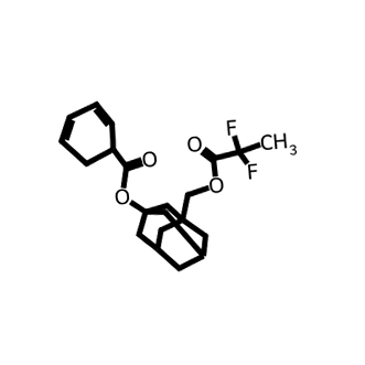 CC(F)(F)C(=O)OCC12CC3CC(C1)CC(OC(=O)C1C=CC=CC1)(C3)C2